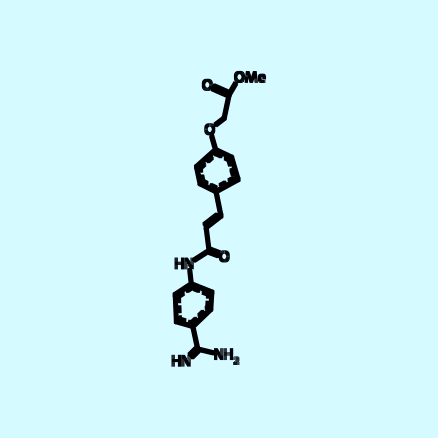 COC(=O)COc1ccc(C=CC(=O)Nc2ccc(C(=N)N)cc2)cc1